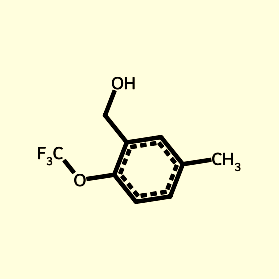 Cc1ccc(OC(F)(F)F)c(CO)c1